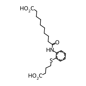 O=C(O)CCCCCCCCC(=O)Nc1ccccc1SCCCC(=O)O